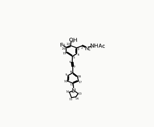 CC(=O)NN=Cc1cc(C#Cc2ccc(N3CCCC3)cc2)cc(F)c1O